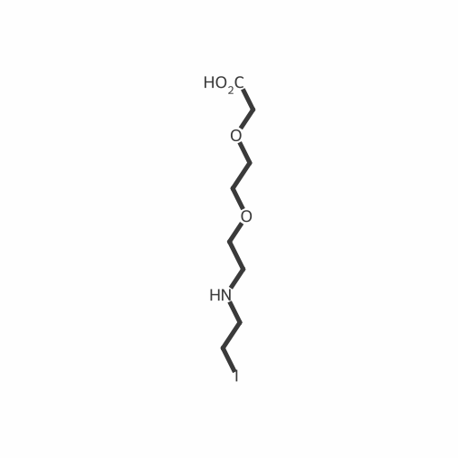 O=C(O)COCCOCCNCCI